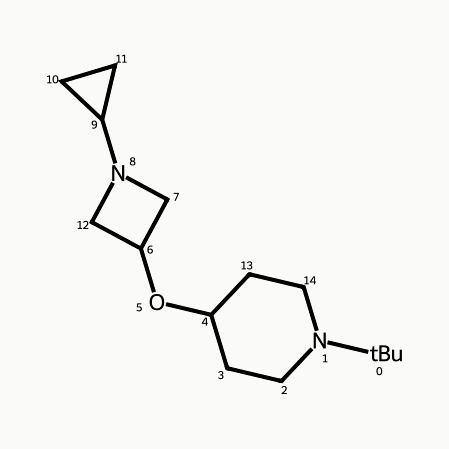 CC(C)(C)N1CCC(OC2CN(C3CC3)C2)CC1